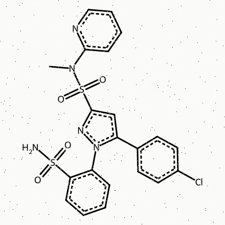 CN(c1ccccn1)S(=O)(=O)c1cc(-c2ccc(Cl)cc2)n(-c2ccccc2S(N)(=O)=O)n1